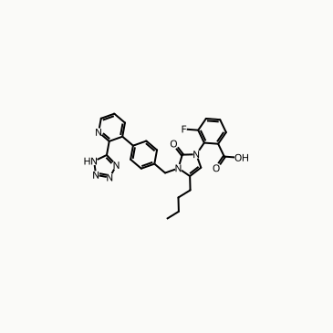 CCCCc1cn(-c2c(F)cccc2C(=O)O)c(=O)n1Cc1ccc(-c2cccnc2-c2nnn[nH]2)cc1